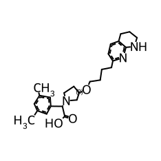 Cc1cc(C)cc(C(C(=O)O)N2CC[C@@H](OCCCCc3ccc4c(n3)NCCC4)C2)c1